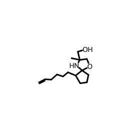 C=CCCCCC1CCCC12NC(C)(CO)CO2